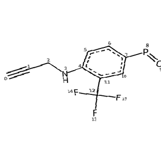 C#CCNc1ccc(P=O)cc1C(F)(F)F